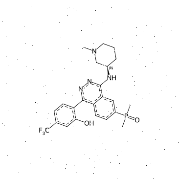 CN1CCC[C@@H](Nc2nnc(-c3ccc(C(F)(F)F)cc3O)c3ccc(P(C)(C)=O)cc23)C1